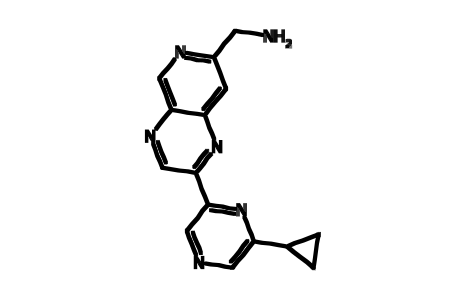 NCc1cc2nc(-c3cncc(C4CC4)n3)cnc2cn1